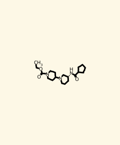 CCOC(=O)N1CCC(N2CCC[C@@H](NC(=O)C3CCCC3)C2)CC1